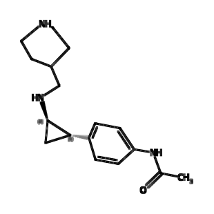 CC(=O)Nc1ccc([C@@H]2C[C@H]2NCC2CCNCC2)cc1